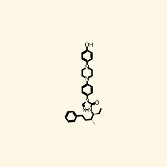 CC[C@@H]([C@H](C)CCc1ccccc1)n1ncn(-c2ccc(N3CCN(c4ccc(O)cc4)CC3)cc2)c1=O